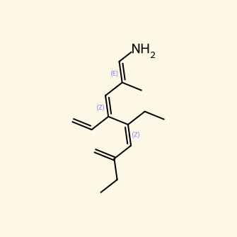 C=CC(=C/C(C)=C/N)/C(=C\C(=C)CC)CC